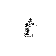 Cc1ccc2c(N)c(C(=O)NC3COc4nc(N5CCN(C(=O)O)CC5)c(F)cc4C3)sc2n1